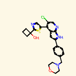 OC1(c2ncc(-c3c(Cl)cnc4[nH]c(-c5ccc(CN6CCOCC6)cc5)cc34)s2)CCC1